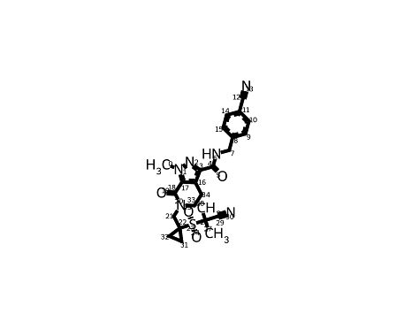 Cn1nc(C(=O)NCc2ccc(C#N)cc2)c2c1C(=O)N(CC1(S(=O)(=O)C(C)(C)C#N)CC1)CC2